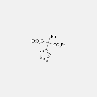 CCOC(=O)C(C(=O)OCC)(c1ccsc1)C(C)(C)C